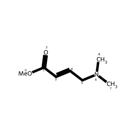 COC(=O)C=CCN(C)C